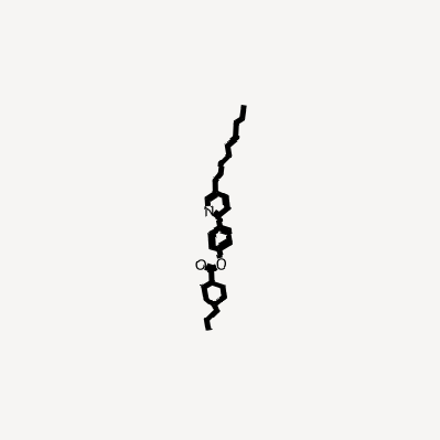 CCCCCCCCCc1ccc(-c2ccc(OC(=O)C3CCC(CCC)CC3)cc2)nc1